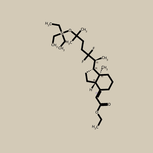 CCOC(=O)/C=C1\CCC[C@]2(C)[C@@H]([C@H](C)C(F)(F)CCC(C)(C)O[Si](CC)(CC)CC)CC[C@@H]12